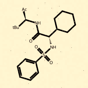 CC(=O)[C@@H](NC(=O)[C@@H](NS(=O)(=O)c1ccccc1)C1CCCCC1)C(C)(C)C